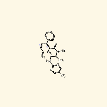 CCN(C(=O)/C(C)=C(/C=C\C=N)c1ccccc1)C(C)CNc1ncc(C(F)(F)F)cn1